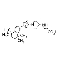 CC1(C)CCC(C)(C)c2cc(-c3csc(N4CCC(NCCC(=O)O)CC4)n3)ccc21